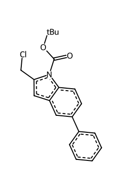 CC(C)(C)OC(=O)n1c(CCl)cc2cc(-c3ccccc3)ccc21